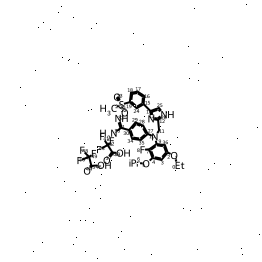 CCOc1cc(OC(C)C)c(F)c(N(Cc2nc(-c3cccc(S(C)(=O)=O)c3)c[nH]2)c2ccc(C(=N)N)cc2)c1.O=C(O)C(F)(F)F.O=C(O)C(F)(F)F